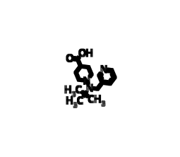 CC(C)(C)N(Cc1cccnc1)N1CCC(C(=O)O)CC1